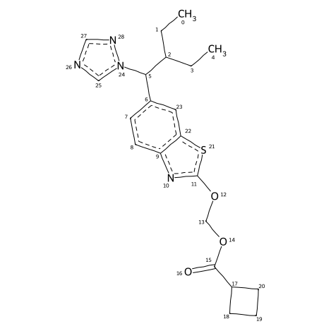 CCC(CC)C(c1ccc2nc(OCOC(=O)C3CCC3)sc2c1)n1cncn1